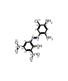 Nc1cc(N)c(/N=N/c2cc([N+](=O)[O-])cc([N+](=O)[O-])c2O)cc1Cl